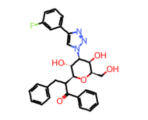 O=C(c1ccccc1)C(Cc1ccccc1)[C@@H]1O[C@H](CO)[C@H](O)[C@H](n2cc(-c3cccc(F)c3)nn2)[C@H]1O